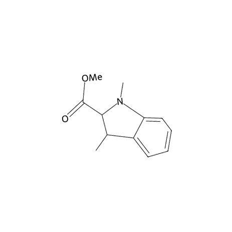 COC(=O)C1C(C)c2ccccc2N1C